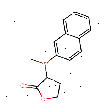 C[S+](c1ccc2ccccc2c1)C1CCOC1=O